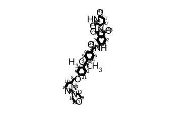 CC(C)(c1ccc(OCc2ccnc(N3CCOCC3)n2)cc1)c1ccc(C(=O)Nc2ccc3c(c2)C(=O)N(C2CCC(=O)NC2=O)C3=O)cc1